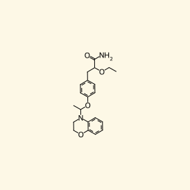 CCOC(Cc1ccc(OC(C)N2CCOc3ccccc32)cc1)C(N)=O